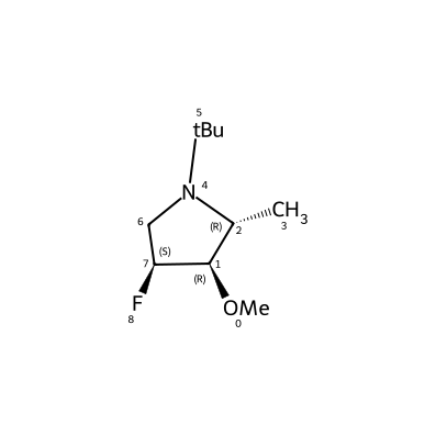 CO[C@@H]1[C@@H](C)N(C(C)(C)C)C[C@@H]1F